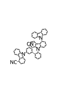 N#Cc1cc(-c2ccccc2-n2c3ccccc3c3c(-n4c5ccccc5c5ccccc54)cccc32)cc(-n2c3ccccc3c3c(C#N)cccc32)c1